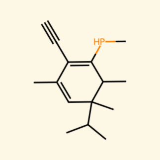 C#CC1=C(PC)C(C)C(C)(C(C)C)C=C1C